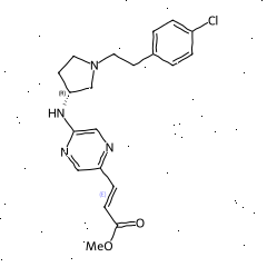 COC(=O)/C=C/c1cnc(N[C@@H]2CCN(CCc3ccc(Cl)cc3)C2)cn1